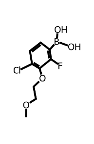 COCCOc1c(Cl)ccc(B(O)O)c1F